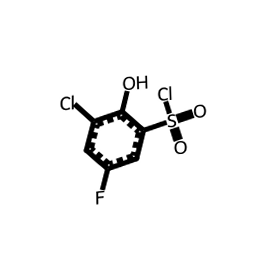 O=S(=O)(Cl)c1cc(F)cc(Cl)c1O